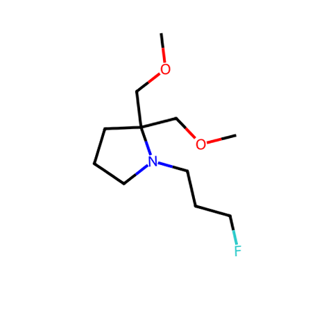 COCC1(COC)CCCN1CCCF